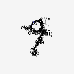 COc1cc2cc(c1Cl)N(C)C(=O)C[C@H](OC(=O)[C@H](C)N(C)C(=O)CCc1ccc(NC(=O)CCCCC(=O)ON3C(=O)CCC3=O)cc1)[C@]1(C)O[C@H]1[C@H](C)[C@@H]1C[C@@](O)(NC(=O)O1)[C@H](OC)/C=C/C=C(\C)C2